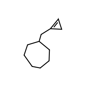 [C]1=C(CC2CCCCCC2)C1